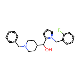 OC(c1cccn1Cc1ccccc1F)C1CCN(Cc2ccccc2)CC1